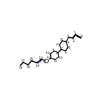 C=CCCC1CCC(C2CCC(O/C=C/CCCC)CC2)CC1